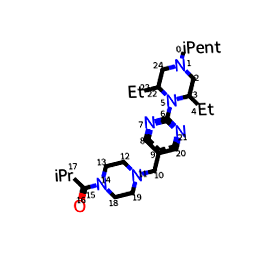 CCCC(C)N1CC(CC)N(c2ncc(CN3CCN(C(=O)C(C)C)CC3)cn2)C(CC)C1